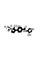 NS(=O)(=O)n1ccc(-c2ccc(C(=O)NC3CNC[C@@H]3O)cc2)c1C(=O)O